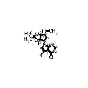 C=C[C@H]1C[C@@H](n2cc(F)c3c(Cl)ncnc32)[C@@H]2OC(C)(C)O[C@@H]21